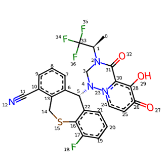 C[C@@H](N1CN([C@H]2c3cccc(C#N)c3CSc3c(F)cccc32)n2ccc(=O)c(O)c2C1=O)C(F)(F)F